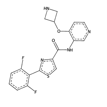 O=C(Nc1cnccc1OC1CNC1)c1csc(-c2c(F)cccc2F)n1